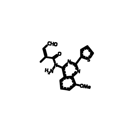 COc1cccc2c(N(N)C(=O)/C(C)=C\C=O)nc(-c3cccs3)nc12